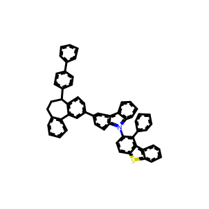 c1ccc(-c2ccc(C3CCc4ccccc4-c4cc(-c5ccc6c(c5)c5ccccc5n6-c5ccc6sc7ccccc7c6c5-c5ccccc5)ccc43)cc2)cc1